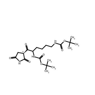 CC(C)(C)OC(=O)NCCCCC(NC(=O)OC(C)(C)C)C(=O)[C@@H]1CC(=O)NC1=O